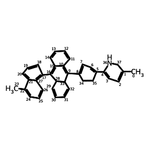 CC1=CC=C(C2=CC=C(C3=c4ccccc4=C(c4cccc5c(C)cccc45)C4C=CC=CC34)CC2)NC1